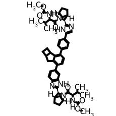 COC(=O)NC(C(=O)N1[C@@H]2CC[C@@H](C2)[C@H]1c1ncc(-c2ccc(-c3ccc(-c4ccc5nc([C@@H]6[C@H]7CC[C@H](C7)N6C(=O)C(NC(=O)OC)C(C)C)[nH]c5c4)c4c3C3CCC3C4)cc2)[nH]1)C(C)C